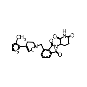 Cc1ccsc1C1=CCN(Cc2cccc3c2C(=O)N(C2CCC(=O)NC2=O)C3=O)CC1